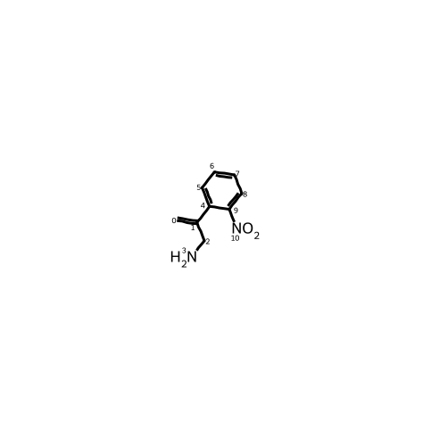 C=C(CN)c1ccccc1[N+](=O)[O-]